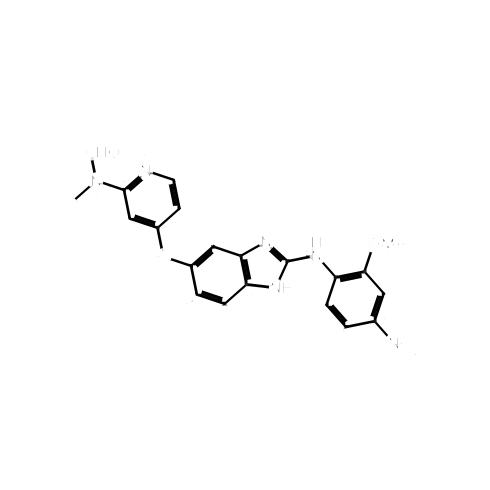 COc1cc([N+](=O)[O-])ccc1Nc1nc2cc(Oc3ccnc(N(C)C=O)c3)ccc2[nH]1